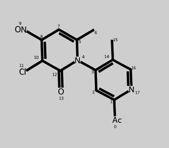 CC(=O)c1cc(-n2c(C)cc(N=O)c(Cl)c2=O)c(C)cn1